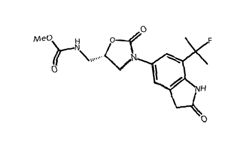 COC(=O)NC[C@H]1CN(c2cc3c(c(C(C)(C)F)c2)NC(=O)C3)C(=O)O1